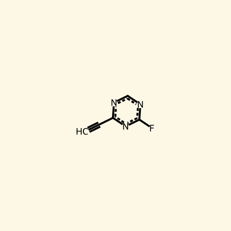 C#Cc1ncnc(F)n1